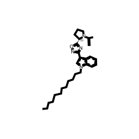 C=C(C)N1CCC[C@H]1c1nc(-c2cn(CCCCCCCCCCCC)c3ccccc23)no1